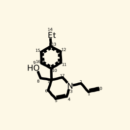 C=CCN1C=CCC(CO)(c2ccc(CC)cc2)C1